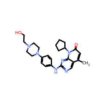 Cc1cc(=O)n(C2CCCC2)c2nc(Nc3ccc(N4CCN(CCO)CC4)cc3)ncc12